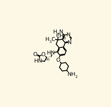 CC1(C)Cc2c(ccc(OC3CCC(N)CC3)c2NC[C@@H]2CNC(=O)O2)-c2ncnc(N)c21